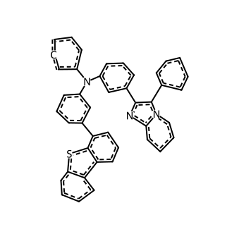 c1ccc(-c2c(-c3cccc(N(c4ccccc4)c4cccc(-c5cccc6c5sc5ccccc56)c4)c3)nc3ccccn23)cc1